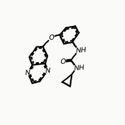 O=C(Nc1cccc(Oc2ccc3nccnc3c2)c1)NC1CC1